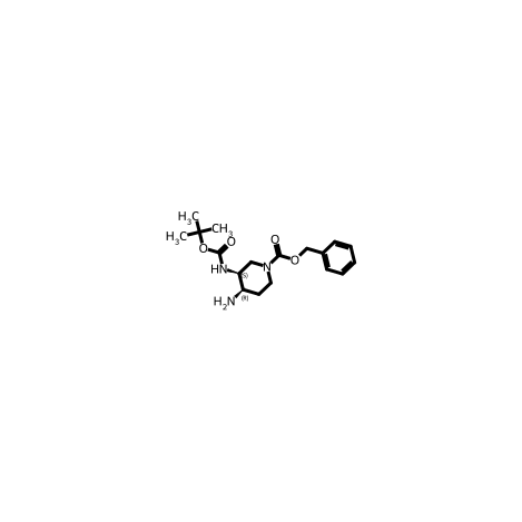 CC(C)(C)OC(=O)N[C@H]1CN(C(=O)OCc2ccccc2)CC[C@H]1N